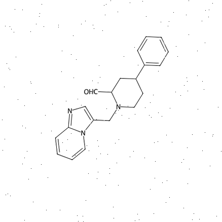 O=CC1CC(c2ccccc2)CCN1Cc1cnc2ccccn12